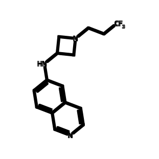 FC(F)(F)CCN1CC(Nc2ccc3cnccc3c2)C1